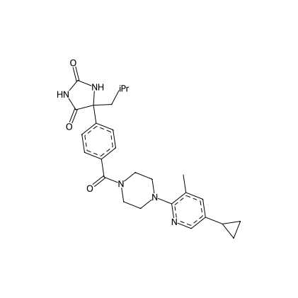 Cc1cc(C2CC2)cnc1N1CCN(C(=O)c2ccc(C3(CC(C)C)NC(=O)NC3=O)cc2)CC1